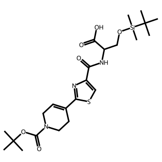 CC(C)(C)OC(=O)N1CC=C(c2nc(C(=O)NC(CO[Si](C)(C)C(C)(C)C)C(=O)O)cs2)CC1